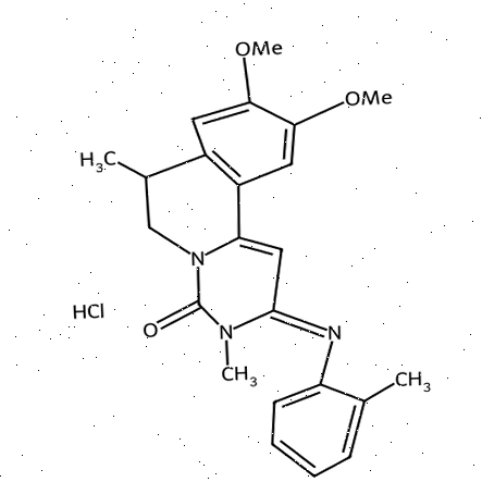 COc1cc2c(cc1OC)C(C)Cn1c-2cc(=Nc2ccccc2C)n(C)c1=O.Cl